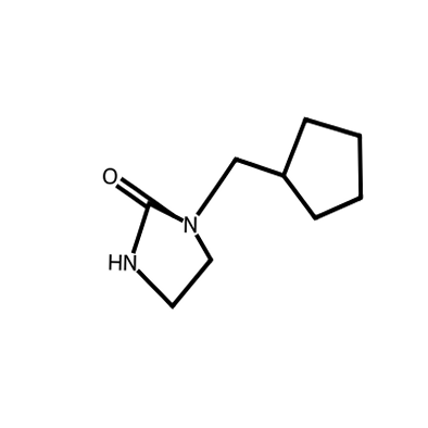 O=C1NCCN1CC1CCCC1